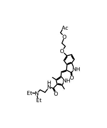 CCN(CC)CCNC(=O)c1c(C)[nH]c(/C=C2\C(=O)Nc3ccc(OCCOCC(C)=O)cc32)c1C